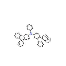 c1ccc(N(c2ccc3c(c2)-c2ccccc2C32CC3CCC2C3)c2ccc3c(c2)-c2ccccc2C32C3CC4CC(C3)CC2C4)cc1